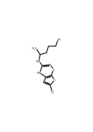 CC(C)CCCC(C)NC1=NSc2sc(Cl)cc2N1